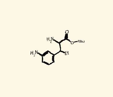 CCC(c1cccc(N)c1)C(N)C(=O)OC(C)(C)C